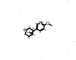 COc1ccc(C2CN3CCC2CC3)cn1